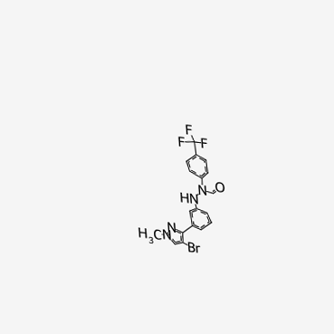 Cn1cc(Br)c(-c2cccc(NN(C=O)c3ccc(C(F)(F)F)cc3)c2)n1